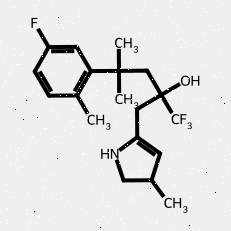 Cc1ccc(F)cc1C(C)(C)CC(O)(CC1=CC(C)CN1)C(F)(F)F